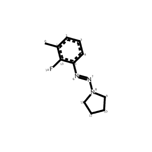 Cc1cccc(/N=N/N2CCCC2)c1F